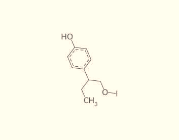 CCC(COI)c1ccc(O)cc1